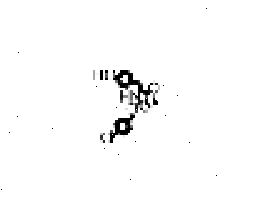 COC(=O)C(Cc1ccc(O)cc1)NC(=O)OCc1ccc(Cl)cc1